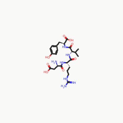 CC(C)[C@H](NC(=O)[C@H](CCCNC(=N)N)NC(=O)[C@H](N)CC(=O)O)C(=O)N[C@@H](Cc1ccc(O)cc1)C(=O)O